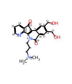 CN(C)CCCn1c2c(c3cc(CO)c(CO)cc3c1=O)C(=O)c1cccnc1-2